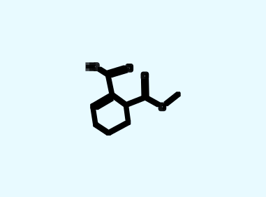 COC(=O)C1CCCC=C1C(=O)O